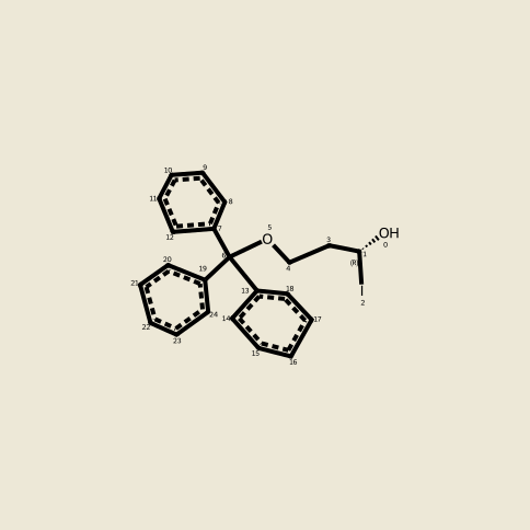 O[C@H](I)CCOC(c1ccccc1)(c1ccccc1)c1ccccc1